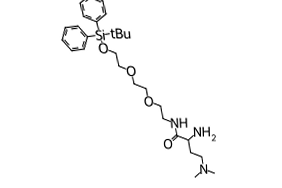 CN(C)CCC(N)C(=O)NCCOCCOCCO[Si](c1ccccc1)(c1ccccc1)C(C)(C)C